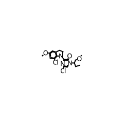 CCC(COC)n1cc(Cl)nc(N2CCc3cc(OC)cc(Cl)c32)c1=O